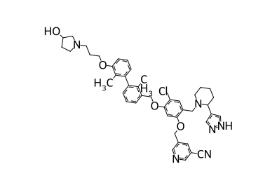 Cc1c(COc2cc(OCc3cncc(C#N)c3)c(CN3CCCCC3c3cn[nH]c3)cc2Cl)cccc1-c1cccc(OCCCN2CCC(O)C2)c1C